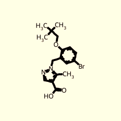 Cc1c(C(=O)O)cnn1Cc1cc(Br)ccc1OCC(C)(C)C